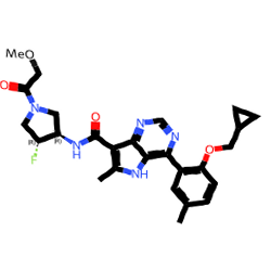 COCC(=O)N1C[C@@H](F)[C@H](NC(=O)c2c(C)[nH]c3c(-c4cc(C)ccc4OCC4CC4)ncnc23)C1